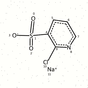 O=S(=O)([O-])c1cccnc1Cl.[Na+]